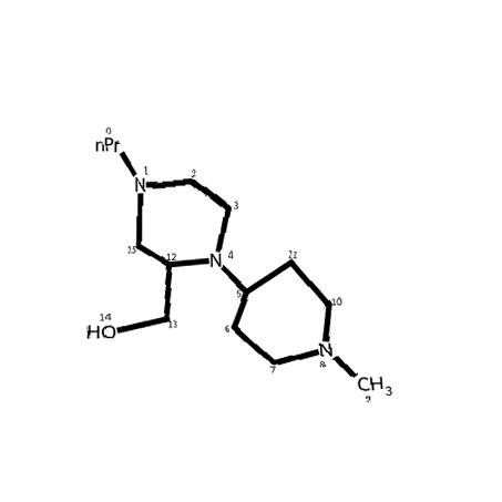 CCCN1CCN(C2CCN(C)CC2)C(CO)C1